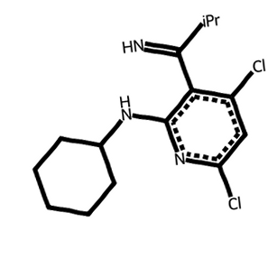 CC(C)C(=N)c1c(Cl)cc(Cl)nc1NC1CCCCC1